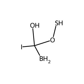 BC(O)(I)OS